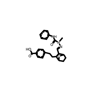 CN(N=CC1C2CCC(O2)C1CCc1ccc(C(=O)O)cc1)C(=O)Nc1ccccc1